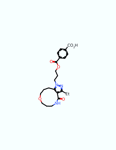 CCc1nn(CCCOC(=O)c2ccc(C(=O)O)cc2)c2c1C(=O)NCCCOCCC2